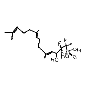 CC(C)=CCCC(C)=CCCC(C)=CC(O)C(F)(F)C(F)(F)P(=O)(O)O